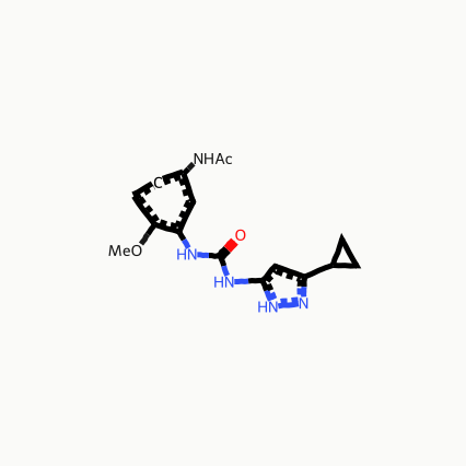 COc1ccc(NC(C)=O)cc1NC(=O)Nc1cc(C2CC2)n[nH]1